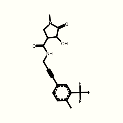 Cc1ccc(C#CCNC(=O)C2CN(C)C(=O)C2O)cc1C(F)(F)F